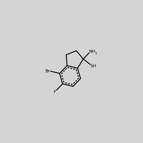 NC1(S)CCc2c1ccc(F)c2Br